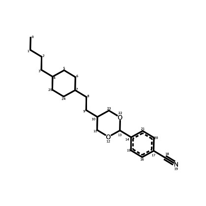 CCCCC1CCC(CCC2COC(c3ccc(C#N)cc3)OC2)CC1